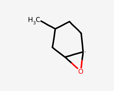 CC1CC[C]2OC2C1